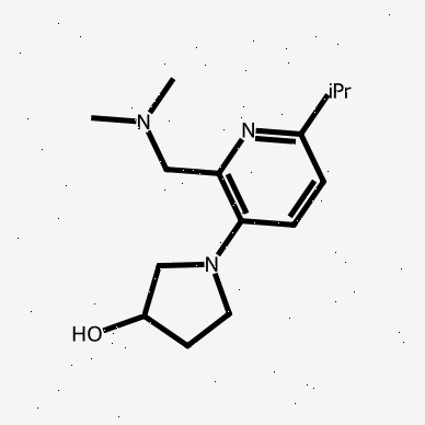 CC(C)c1ccc(N2CCC(O)C2)c(CN(C)C)n1